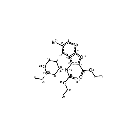 CCOC(=O)c1oc2ncc(Br)cc2c1N(C(=O)OCC)[C@H]1CCO[C@@H](CC)C1